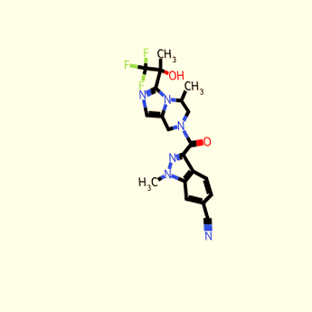 CC1CN(C(=O)c2nn(C)c3cc(C#N)ccc23)Cc2cnc(C(C)(O)C(F)(F)F)n21